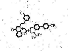 CCN(CC)CCN(Cc1ccc(-c2ccc(C(F)(F)F)cc2)cc1)C(=O)Cn1c(CCc2cccc(Cl)c2)cc(=O)c2ccccc21